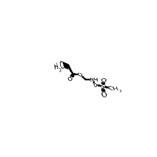 C=CC(=O)OCNOS(C)(=O)=O